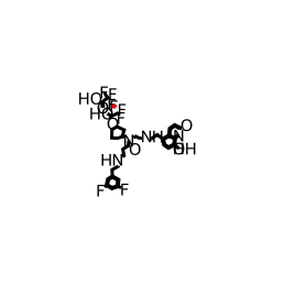 O=C(CCNCCc1cc(F)cc(F)c1)N(CCNCCc1ccc(O)c2[nH]c(=O)ccc12)C1CCCCC1.O=C(O)C(F)(F)F.O=C(O)C(F)(F)F